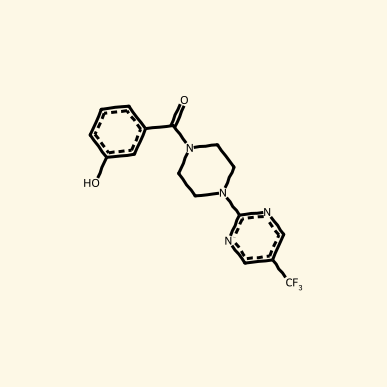 O=C(c1cccc(O)c1)N1CCN(c2ncc(C(F)(F)F)cn2)CC1